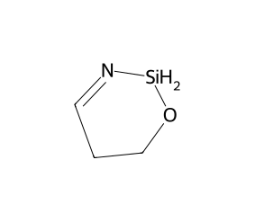 C1=N[SiH2]OCC1